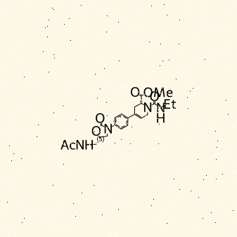 CCNC(=O)N1CC=C(c2ccc(N3C[C@H](CNC(C)=O)OC3=O)cc2)CC1C(=O)OC